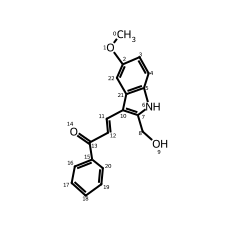 COc1ccc2[nH]c(CO)c(/C=C/C(=O)c3ccccc3)c2c1